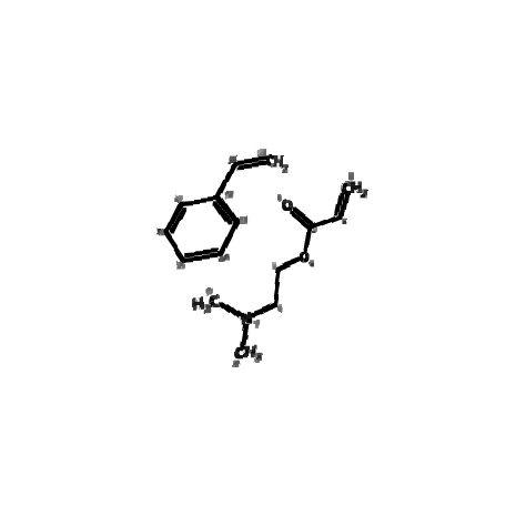 C=CC(=O)OCCN(C)C.C=Cc1ccccc1